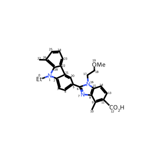 CCn1c2ccc(-c3nc4c(C)c(C(=O)O)ccc4n3CCOC)cc2c2cccc(C)c21